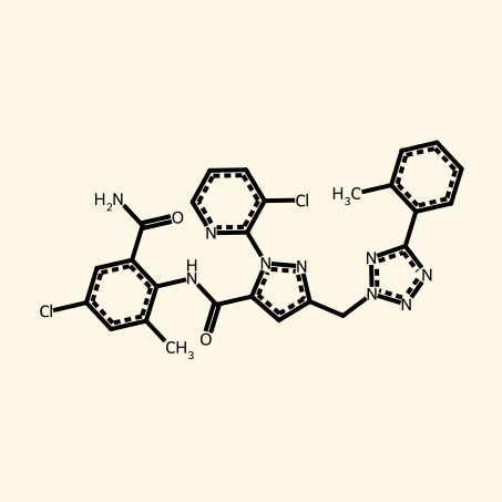 Cc1ccccc1-c1nnn(Cc2cc(C(=O)Nc3c(C)cc(Cl)cc3C(N)=O)n(-c3ncccc3Cl)n2)n1